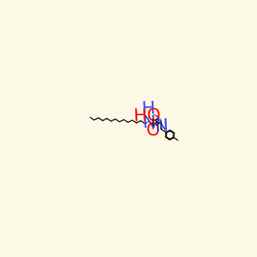 CCCCCCCCCCCCCCNC(=O)[C@H](CO)N=Cc1ccc(C)cc1